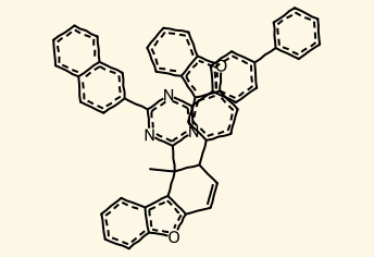 CC1(c2nc(-c3ccc(-c4ccccc4)cc3)nc(-c3ccc4ccccc4c3)n2)c2c(oc3ccccc23)C=CC1c1ccc2oc3ccccc3c2c1